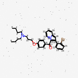 CCCCN(CCCC)CCCOc1ccc(C(=O)c2c(-c3ccccc3Br)cc3ccccn23)cc1